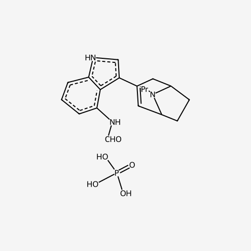 CC(C)N1C2C=C(c3c[nH]c4cccc(NC=O)c34)CC1CC2.O=P(O)(O)O